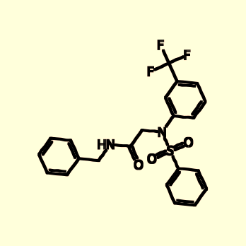 O=C(CN(c1cccc(C(F)(F)F)c1)S(=O)(=O)c1ccccc1)NCc1ccccc1